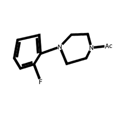 CC(=O)N1CCN(c2ccccc2F)CC1